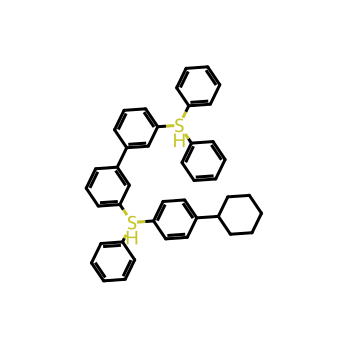 c1ccc([SH](c2ccccc2)c2cccc(-c3cccc([SH](c4ccccc4)c4ccc(C5CCCCC5)cc4)c3)c2)cc1